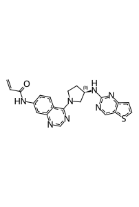 C=CC(=O)Nc1ccc2c(N3CC[C@@H](Nc4ncc5sccc5n4)C3)ncnc2c1